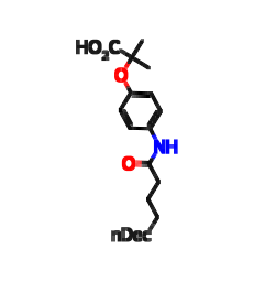 CCCCCCCCCCCCCC(=O)Nc1ccc(OC(C)(C)C(=O)O)cc1